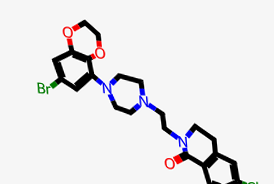 O=C1c2ccc(Cl)cc2CCN1CCN1CCN(c2cc(Br)cc3c2OCCO3)CC1